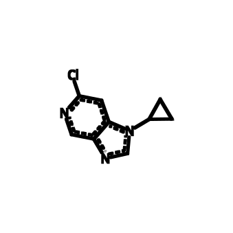 Clc1cc2c(cn1)ncn2C1CC1